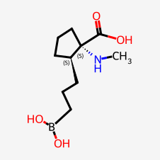 CN[C@@]1(C(=O)O)CCC[C@@H]1CCCB(O)O